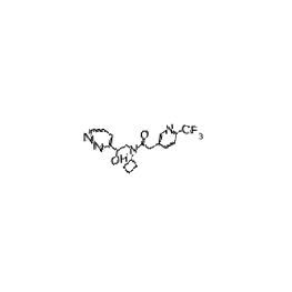 O=C(Cc1ccc(C(F)(F)F)nc1)N(CC(O)c1cccnn1)C1CCC1